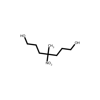 CC(CCCO)(CCCO)[N+](=O)[O-]